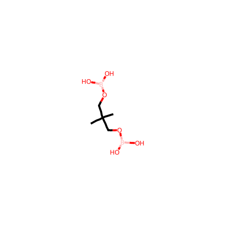 CC(C)(COB(O)O)COB(O)O